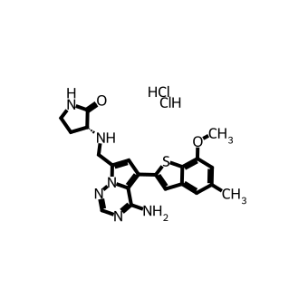 COc1cc(C)cc2cc(-c3cc(CN[C@@H]4CCNC4=O)n4ncnc(N)c34)sc12.Cl.Cl